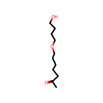 CC(=O)CCCCCOCCCCO